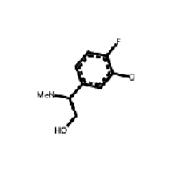 CNC(CO)c1ccc(F)c(Cl)c1